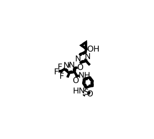 Cc1nc(C2(O)CC2)cnc1Oc1nnc(C(F)(F)F)c(C)c1C(=O)Nc1cccc(S(C)(=N)=O)c1